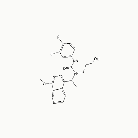 COc1ncc(C(C)N(CCCO)C(=O)Nc2ccc(F)c(Cl)c2)c2ccccc12